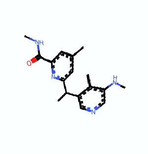 CNC(=O)c1cc(C)cc(C(C)c2cncc(NC)c2C)n1